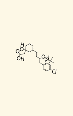 CC(C)(C)[Si](C)(C)OC(/C=C/C1CCCC(O)(CC(=O)O)C1)Cc1ccc(Cl)cc1